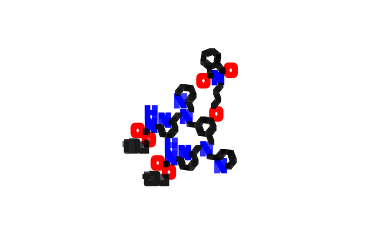 CC(C)(C)OC(=O)Nc1cccc(CN(Cc2cc(CN(Cc3ccccn3)Cc3cccc(NC(=O)OC(C)(C)C)n3)cc(OCCCCN3C(=O)c4ccccc4C3=O)c2)Cc2ccccn2)n1